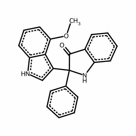 COc1cccc2[nH]cc(C3(c4ccccc4)Nc4ccccc4C3=O)c12